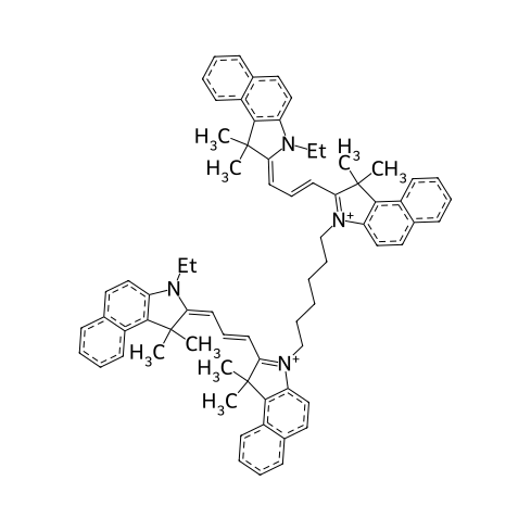 CCN1C(=CC=CC2=[N+](CCCCCC[N+]3=C(C=CC=C4N(CC)c5ccc6ccccc6c5C4(C)C)C(C)(C)c4c3ccc3ccccc43)c3ccc4ccccc4c3C2(C)C)C(C)(C)c2c1ccc1ccccc21